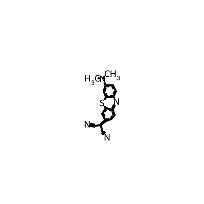 CN(C)c1ccc2c(c1)Sc1cc(=C(C#N)C#N)ccc1=N2